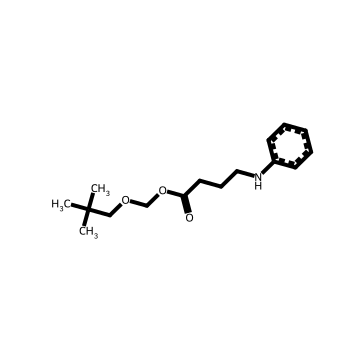 CC(C)(C)COCOC(=O)CCCNc1ccccc1